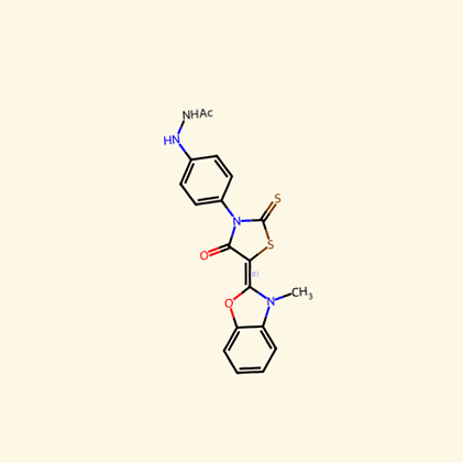 CC(=O)NNc1ccc(N2C(=O)/C(=C3\Oc4ccccc4N3C)SC2=S)cc1